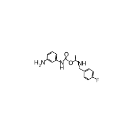 CC(NCc1ccc(F)cc1)OC(=O)Nc1cccc(N)c1